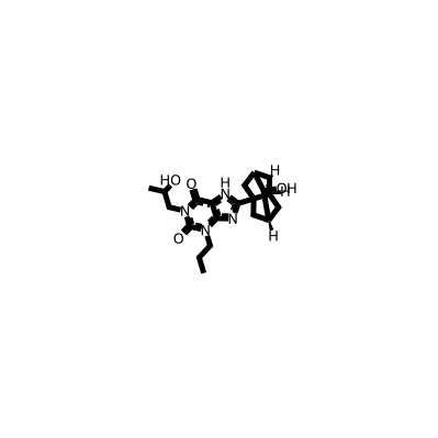 CCCn1c(=O)n(CC(C)O)c(=O)c2[nH]c(C34CC5C[C@@H]3C[C@H](C4)[C@@H]5O)nc21